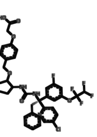 O=C(O)COc1ccc(COC2CCCC2NC(=O)N[C@@](Cc2ccccc2)(c2cc(F)cc(OC(F)(F)C(F)F)c2)c2ccc(Cl)cn2)cc1